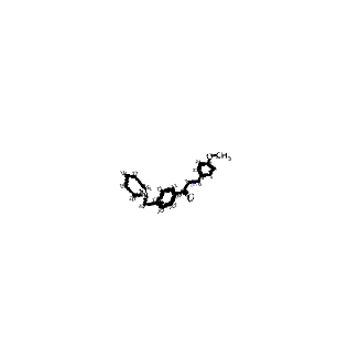 COc1ccc(/C=C/C(=O)c2ccc(CN3CCCCC3)cc2)cc1